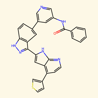 O=C(Nc1cncc(-c2ccc3[nH]nc(-c4cc5c(-c6ccsc6)ccnc5[nH]4)c3c2)c1)c1ccccc1